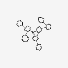 c1ccc(-c2ccc3c(c2)-c2ccccc2-c2cc(-c4ccccc4)cc4c5cc(-c6ccccc6-c6ccccc6)ccc5n-3c24)cc1